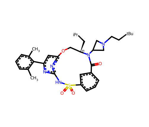 Cc1cccc(C)c1-c1cc2nc(n1)NS(=O)(=O)c1cccc(c1)C(=O)N(C1CN(CCC(C)(C)C)C1)[C@H](CC(C)C)CO2